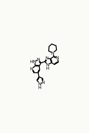 c1cc2[nH]c(-c3n[nH]c4ncc(-c5cn[nH]c5)cc34)nc2c(N2CCCCC2)n1